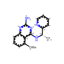 COc1cccc2nc(N)nc(N[C@H](c3ccccn3)C(F)(F)F)c12